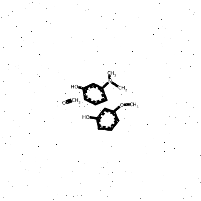 C=O.CN(C)c1cccc(O)c1.COc1cccc(O)c1